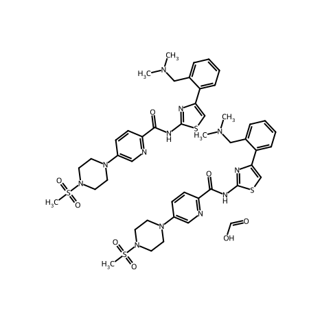 CN(C)Cc1ccccc1-c1csc(NC(=O)c2ccc(N3CCN(S(C)(=O)=O)CC3)cn2)n1.CN(C)Cc1ccccc1-c1csc(NC(=O)c2ccc(N3CCN(S(C)(=O)=O)CC3)cn2)n1.O=CO